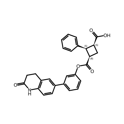 O=C1CCc2cc(-c3cccc(OC(=O)[C@@H]4C[C@H](C(=O)O)[C@@H]4c4ccccc4)c3)ccc2N1